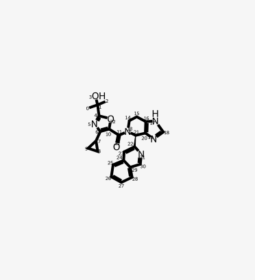 CC(C)(O)c1nc(C2CC2)c(C(=O)N2CCc3[nH]cnc3[C@H]2c2cc3ccccc3cn2)o1